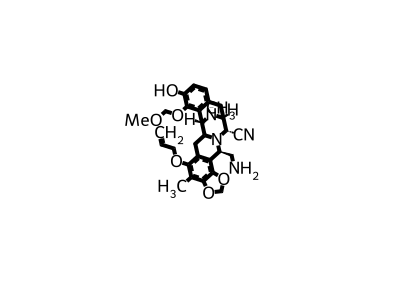 C=CCOc1c(C)c2c(c3c1CC1[C@@H]4c5c(ccc(O)c5OCOC)C[C@H]([C@H](C#N)N1[C@H]3CN)N4C)OCO2